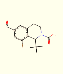 CC(C)(C)C1c2c(Br)cc(C=O)cc2CCN1C(=O)O